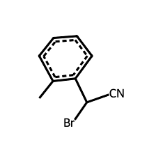 Cc1ccccc1C(Br)C#N